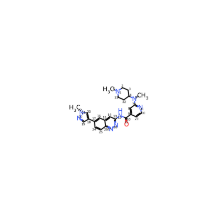 CN1CCC(N(C)c2cc(C(=O)Nc3cc4cc(-c5cnn(C)c5)ccc4nn3)ccn2)CC1